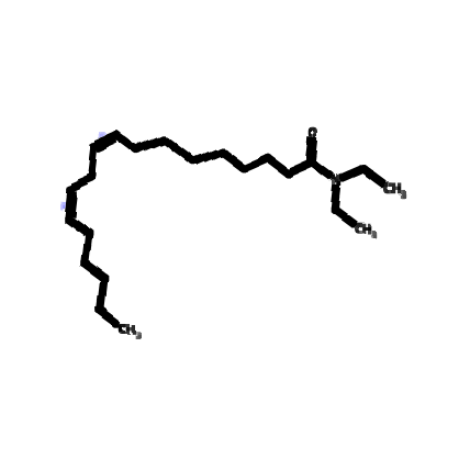 CCCCC/C=C\C/C=C\CCCCCCCC(=O)N(CC)CC